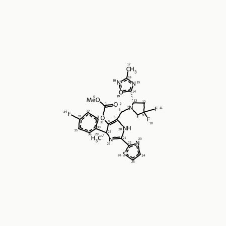 COC(=O)OC1=C(CN2CC(F)(F)C[C@H]2c2nc(C)no2)NC(c2nccs2)=N[C@@]1(C)c1ccc(F)cc1